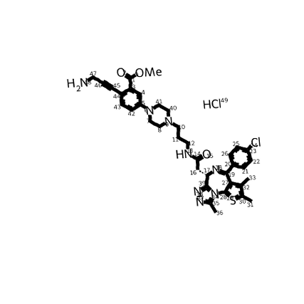 COC(=O)c1cc(N2CCN(CCCNC(=O)C[C@@H]3N=C(c4ccc(Cl)cc4)c4c(sc(C)c4C)-n4c(C)nnc43)CC2)ccc1C#CCN.Cl